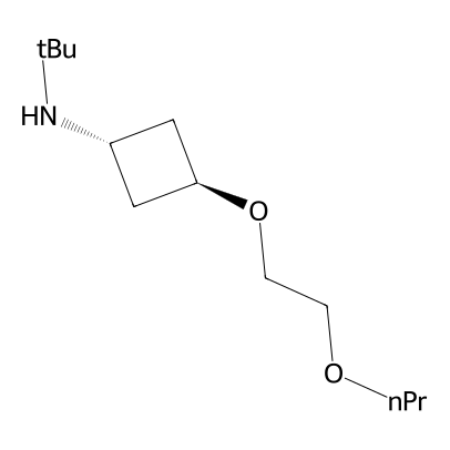 CCCOCCO[C@H]1C[C@H](NC(C)(C)C)C1